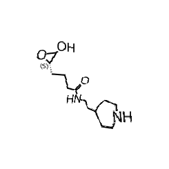 O=C(CCC[C@@H]1OC1O)NCCC1CCNCC1